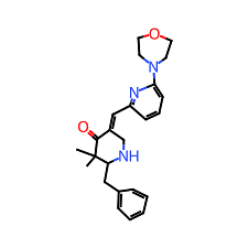 CC1(C)C(=O)C(=Cc2cccc(N3CCOCC3)n2)CNC1Cc1ccccc1